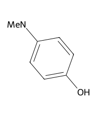 [CH2-][NH2+]c1ccc(O)cc1